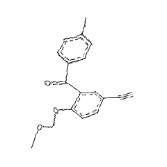 C#Cc1ccc(OCOC)c(C(=O)c2ccc(C)cc2)c1